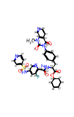 Cn1c(=O)n(-c2ccc(C[C@H](NC(=O)c3ncc(NS(=O)(=O)c4ccncc4)cc3F)C(=O)OC3CCCCC3)cc2)c(=O)c2ccncc21